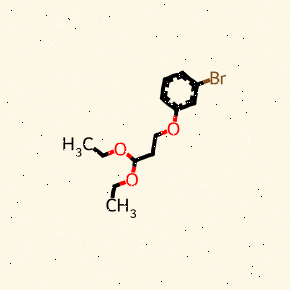 CCOC(CCOc1cccc(Br)c1)OCC